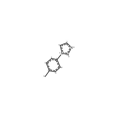 Cc1ccc(-n2c[c]nn2)cc1